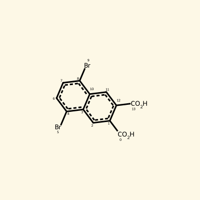 O=C(O)c1cc2c(Br)ccc(Br)c2cc1C(=O)O